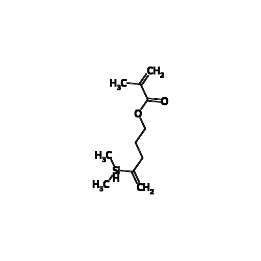 C=C(C)C(=O)OCCCC(=C)[SiH](C)C